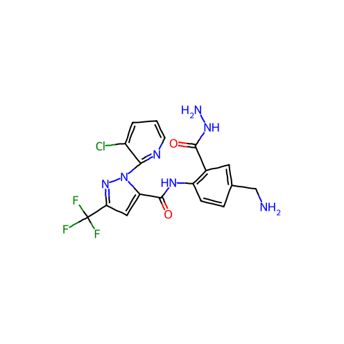 NCc1ccc(NC(=O)c2cc(C(F)(F)F)nn2-c2ncccc2Cl)c(C(=O)NN)c1